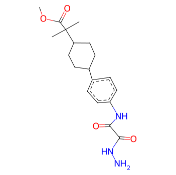 COC(=O)C(C)(C)C1CCC(c2ccc(NC(=O)C(=O)NN)cc2)CC1